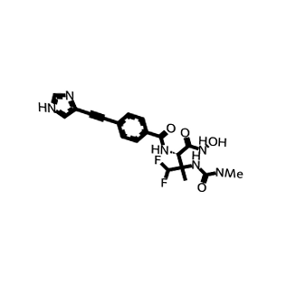 CNC(=O)NC(C)(C(F)F)[C@H](NC(=O)c1ccc(C#Cc2c[nH]cn2)cc1)C(=O)NO